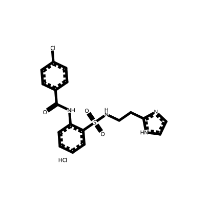 Cl.O=C(Nc1ccccc1S(=O)(=O)NCCc1ncc[nH]1)c1ccc(Cl)cc1